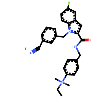 CC[N+](C)(C)c1ccc(CNC(=O)c2cc3cc(F)ccc3n2Cc2cccc(C#N)c2)cc1.[I-]